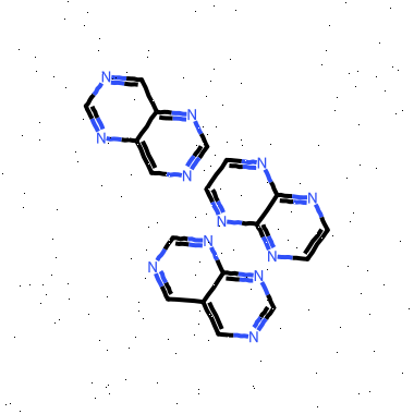 c1cnc2nccnc2n1.c1ncc2cncnc2n1.c1ncc2ncncc2n1